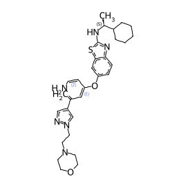 C=C(/C=C(\C=C/N)Oc1ccc2nc(N[C@@H](C)C3CCCCC3)sc2c1)c1cnn(CCN2CCOCC2)c1